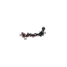 O=C1CCC(Nc2ccc(N3CCN(CC(=O)N4CCC(COc5cc(F)c6c(=O)[nH]c(CSC7CCOCC7)nc6c5)CC4)CC3)c(F)c2)C(=O)N1